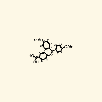 COc1ccc(C(Sc2ccc(B(O)O)cc2)c2ccc(OC)cc2)cc1